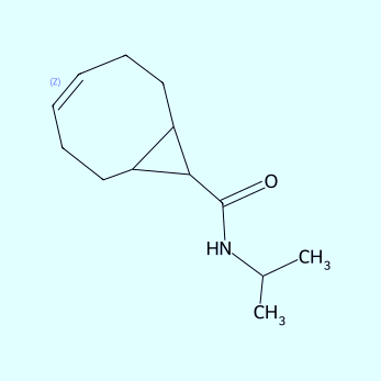 CC(C)NC(=O)C1C2CC/C=C\CCC21